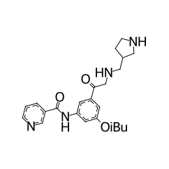 CC(C)COc1cc(NC(=O)c2cccnc2)cc(C(=O)CNCC2CCNC2)c1